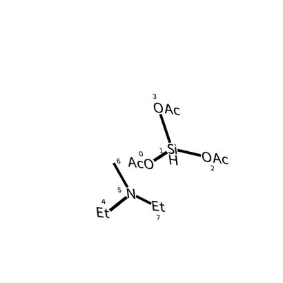 CC(=O)O[SiH](OC(C)=O)OC(C)=O.CCN(C)CC